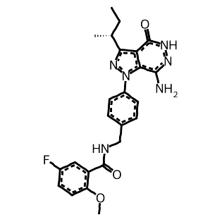 CC[C@@H](C)c1nn(-c2ccc(CNC(=O)c3cc(F)ccc3OC)cc2)c2c(N)n[nH]c(=O)c12